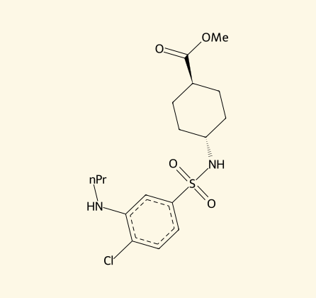 CCCNc1cc(S(=O)(=O)N[C@H]2CC[C@H](C(=O)OC)CC2)ccc1Cl